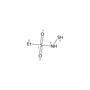 CCS(=O)(=O)NS